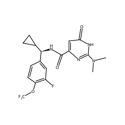 CN(C)c1nc(C(=O)N[C@@H](c2ccc(OC(F)(F)F)c(F)c2)C2CC2)cc(=O)[nH]1